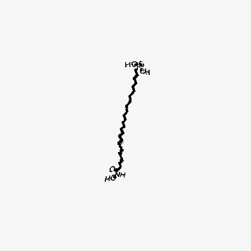 O=C(CCCCCCCCCCCCCCCCCCCCCCCCP(=O)(O)O)NO